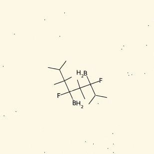 BC(F)(C(C)C)C(C)(C)C(B)(F)C(C)(C)C(C)C